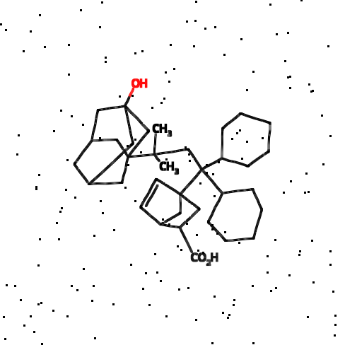 CC(C)(CC(C1CCCCC1)(C1CCCCC1)C12C=CC(C1)C(C(=O)O)C2)C12CC3CC(CC(O)(C3)C1)C2